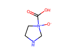 O=C(O)[N+]1([O-])CCNC1